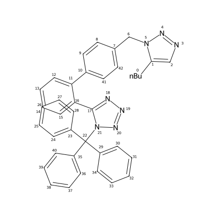 CCCCc1cnnn1Cc1ccc(-c2ccccc2-c2nnnn2C(c2ccccc2)(c2ccccc2)c2ccccc2)cc1